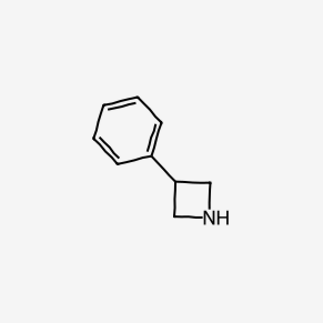 c1ccc(C2CNC2)cc1